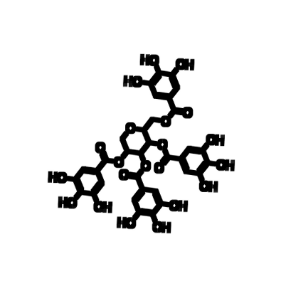 O=C(OCC1OCC(OC(=O)c2cc(O)c(O)c(O)c2)C(OC(=O)c2cc(O)c(O)c(O)c2)C1OC(=O)c1cc(O)c(O)c(O)c1)c1cc(O)c(O)c(O)c1